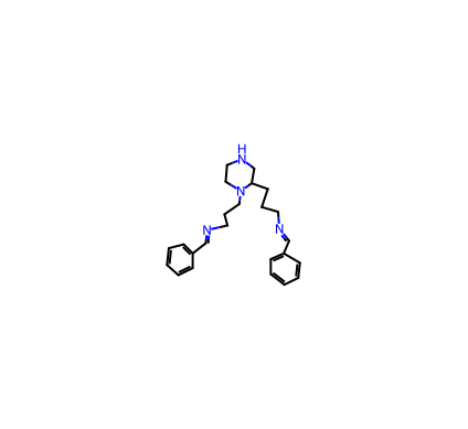 C(=NCCCC1CNCCN1CCCN=Cc1ccccc1)c1ccccc1